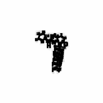 CC(C)(n1c(=O)ccc2cnc(Nc3ccccc3)nc21)C(F)(F)C(F)(F)C(F)(F)C(F)(F)C(F)(F)C(F)F